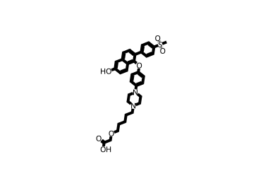 CS(=O)(=O)c1ccc(-c2ccc3cc(O)ccc3c2Oc2ccc(N3CCN(CCCCCOCC(=O)O)CC3)cc2)cc1